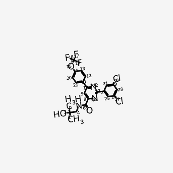 CC(C)(O)CNC(=O)c1cc(-c2ccc(OC(F)(F)F)cc2)nc(-c2cc(Cl)cc(Cl)c2)n1